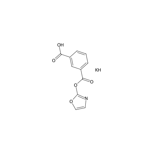 O=C(O)c1cccc(C(=O)Oc2ncco2)c1.[KH]